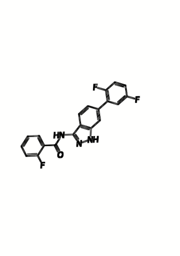 O=C(Nc1n[nH]c2cc(-c3cc(F)ccc3F)ccc12)c1ccccc1F